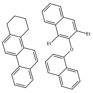 CCc1cc2ccccc2c(CC)c1Oc1cccc2ccccc12.c1ccc2c(c1)ccc1c3c(ccc12)CCCC3